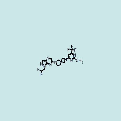 Cc1nc(N2CC3(CCN(c4cnc5cnn(CC(F)F)c5n4)C3)C2)cc(C(F)(F)F)n1